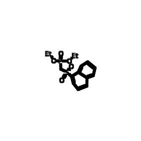 CCOP(=O)(CS(=O)(=O)c1cccc2ccccc12)OCC